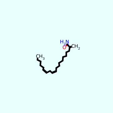 C=C(CCCCCCCC/C=C\C/C=C\CCCCC)C(N)=O